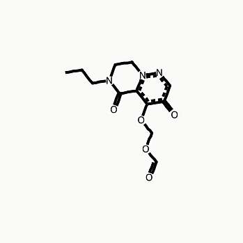 CCCN1CCn2ncc(=O)c(OCOC=O)c2C1=O